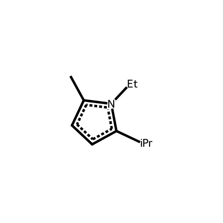 CCn1c(C)ccc1C(C)C